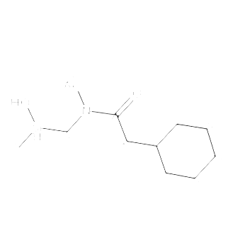 CC(=O)N(C[SiH](C)O)C(=O)CC1CCCCC1